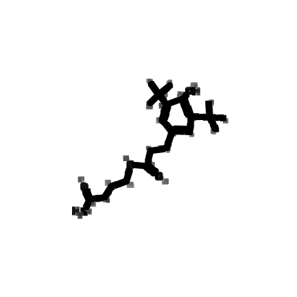 CC(C)(C)c1cc(CCC(=O)OCCCC(N)=O)cc(C(C)(C)C)c1O